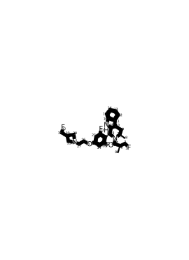 C[C@H](CF)C(=O)N1[C@H](C)CC2c3ccccc3NC2[C@H]1c1c(F)cc(OCCN2CC(CF)C2)cc1F